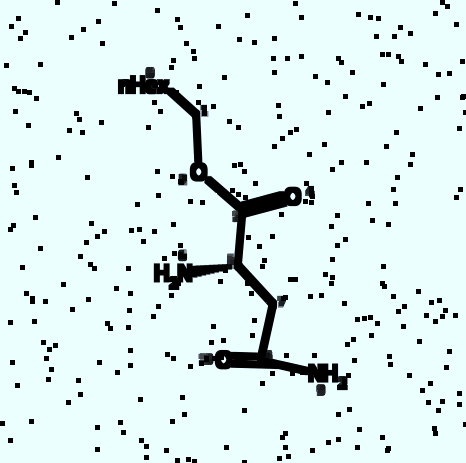 CCCCCCCOC(=O)[C@@H](N)CC(N)=O